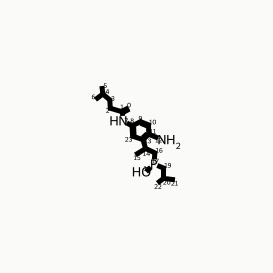 C=C(CCC(C)C)Nc1ccc(N)c(C(C)CP(O)CC(C)C)c1